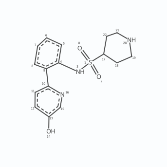 O=S(=O)(Nc1ccccc1-c1ccc(O)cn1)C1CCNCC1